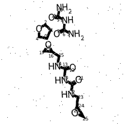 C1CCOC1.NC(=O)NC(N)=O.O=C(NCC1CO1)NC(=O)NCC1CO1